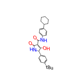 CC(C)(C)c1ccc(C2NC(=O)C(C(=O)Nc3ccc(C4CCCCC4)cc3)=C2O)cc1